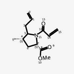 C=CCC1[C@@H](C)C[C@@H](C(=O)OC)N1C(=O)C=C